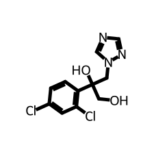 OCC(O)(Cn1cncn1)c1ccc(Cl)cc1Cl